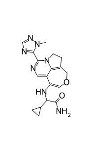 Cn1ncnc1C1=NC=C2C(NC(C(N)=O)C3CC3)=COCC3=C2N1CC3